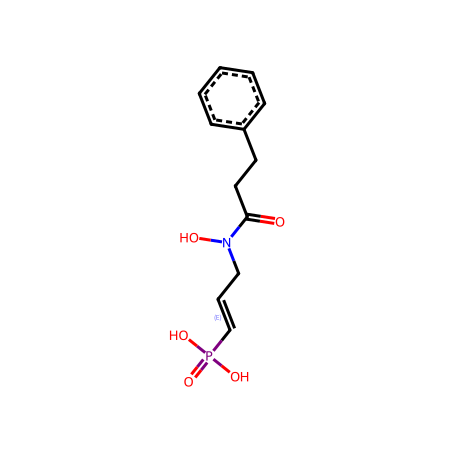 O=C(CCc1ccccc1)N(O)C/C=C/P(=O)(O)O